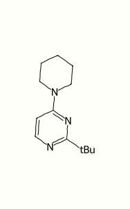 CC(C)(C)c1nccc(N2CCCCC2)n1